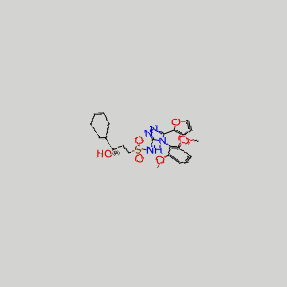 COc1cccc(OC)c1-n1c(NS(=O)(=O)CC[C@@H](O)C2CCCCC2)nnc1-c1ccco1